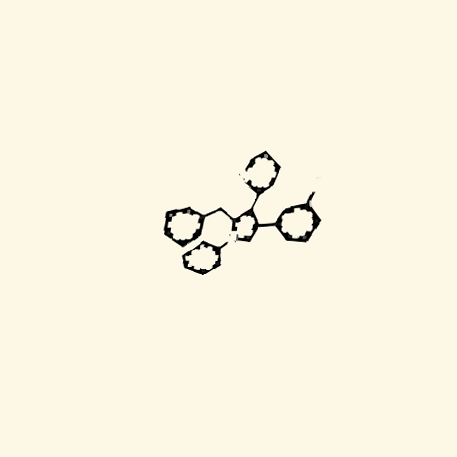 Fc1cccc(-c2cn(-c3ccccc3)c(Cc3ccccc3)c2-c2ccccn2)c1